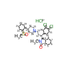 CN1C(=O)c2ccccc2[C@H]1C(CCN1CCC(c2ccccc2[S+](C)[O-])CC1)c1ccc(Cl)c(Cl)c1.Cl